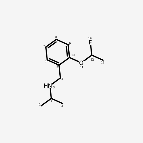 CC(C)NCc1ccccc1OC(C)F